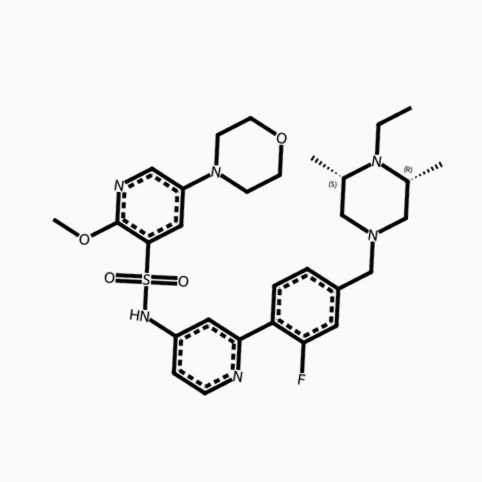 CCN1[C@H](C)CN(Cc2ccc(-c3cc(NS(=O)(=O)c4cc(N5CCOCC5)cnc4OC)ccn3)c(F)c2)C[C@@H]1C